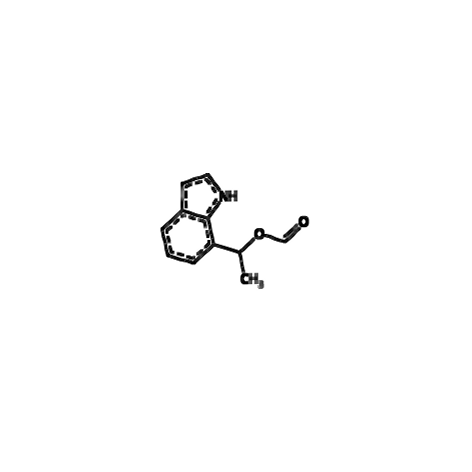 CC(OC=O)c1cccc2cc[nH]c12